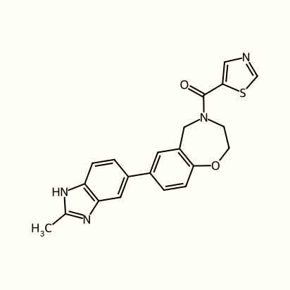 Cc1nc2cc(-c3ccc4c(c3)CN(C(=O)c3cncs3)CCO4)ccc2[nH]1